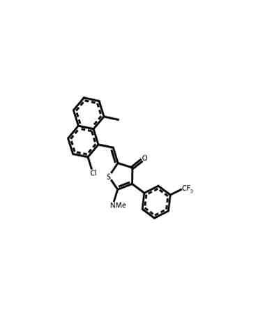 CNC1=C(c2cccc(C(F)(F)F)c2)C(=O)C(=Cc2c(Cl)ccc3cccc(C)c23)S1